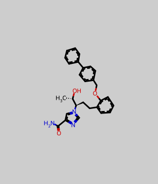 C[C@H](O)[C@@H](CCc1ccccc1OCc1ccc(-c2ccccc2)cc1)n1cnc(C(N)=O)c1